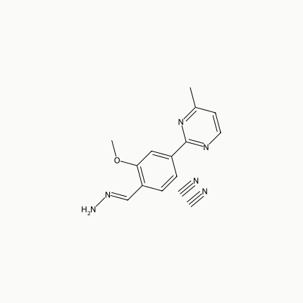 C#N.C#N.COc1cc(-c2nccc(C)n2)ccc1C=NN